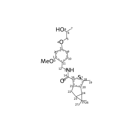 COc1cc(OCC(C)O)ccc1CNC(=O)c1sc(C)c2c1CC1C2C1(C)C